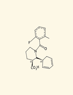 Cc1cccc(F)c1C(=O)N1CCC[C@H](C(=O)O)C1[C@@H]1C=CC=CC1